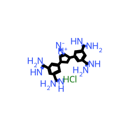 Cl.[N-]=[N+]1C2=C1C(c1cc(C(=N)N)cc(C(=N)N)c1)CC2c1cc(C(=N)N)cc(C(=N)N)c1